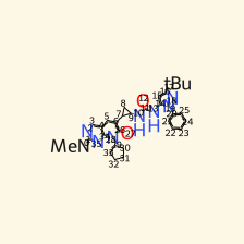 CNc1ncc2cc(C3CC3NC(=O)Nc3cc(C(C)(C)C)nn3-c3ccccc3)c(=O)n(C3CCCC3)c2n1